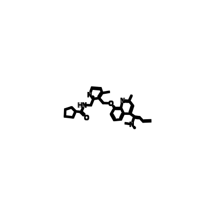 C=C/C=C(/c1cc(C)nc2c(OCc3c(C)ccnc3CNC(=O)C3CCCC3)cccc12)N(C)C